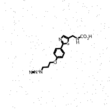 [N-]=[N+]=NCCCOc1ccc(-c2ncc(CNC(=O)O)s2)cc1